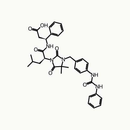 CC(C)C[C@@H](C(=O)N[C@@H](CC(=O)O)c1ccccc1)N1C(=O)N(Cc2ccc(NC(=O)Nc3ccccc3)cc2)C(C)(C)C1=O